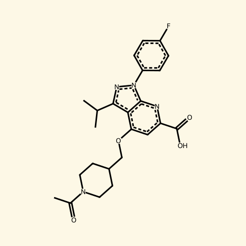 CC(=O)N1CCC(COc2cc(C(=O)O)nc3c2c(C(C)C)nn3-c2ccc(F)cc2)CC1